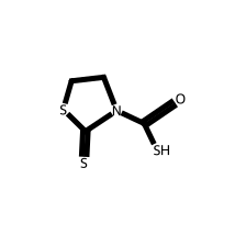 O=C(S)N1CCSC1=S